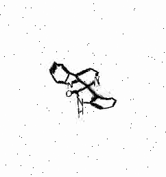 O=C1Nc2ccccc2C12N=CC=C1C2=Nc2ccccc21